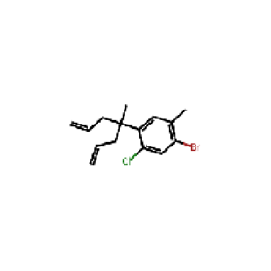 C=CCC(C)(CC=C)c1cc(C)c(Br)cc1Cl